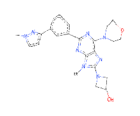 CCn1c(N2CC(O)C2)nc2c(N3CCOCC3)nc(-c3cccc(-c4ccn(C)n4)c3)nc21